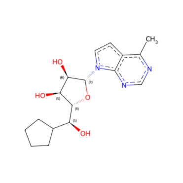 Cc1ncnc2c1ccn2[C@@H]1O[C@H]([C@@H](O)C2CCCC2)[C@@H](O)[C@H]1O